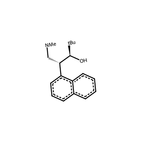 CNC[C@@H](c1cccc2ccccc12)[C@H](O)C(C)(C)C